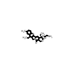 CCc1c2c(nc3ccc(C)cc13)-c1cc3c(c(=O)n1C2)COC(=O)[C@@]3(CC)OC(=O)CN